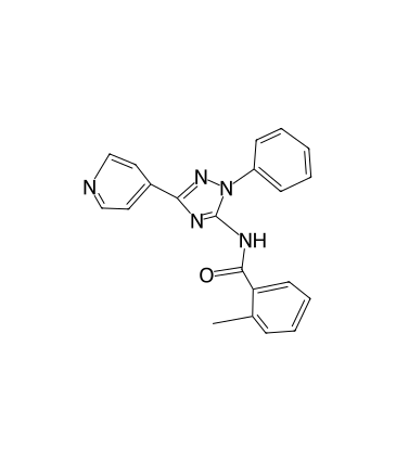 Cc1ccccc1C(=O)Nc1nc(-c2ccncc2)nn1-c1ccccc1